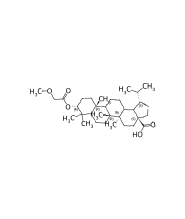 COCC(=O)O[C@@H]1CC[C@@]2(C)C(CC[C@]3(C)C2CCC2C4[C@H](C(C)C)CC[C@]4(C(=O)O)CC[C@]23C)C1(C)C